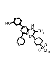 CC(Nc1nc(-c2cccc(O)c2)nc(N2CCOCC2)n1)C(=O)N1CCN(S(C)(=O)=O)CC1